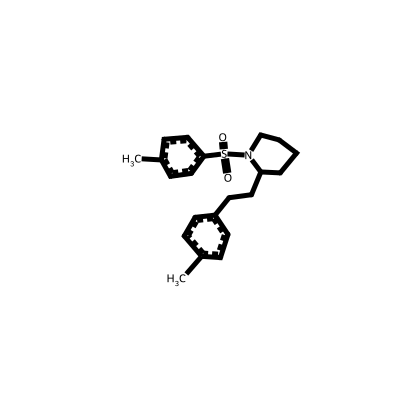 Cc1ccc(CCC2CCCCN2S(=O)(=O)c2ccc(C)cc2)cc1